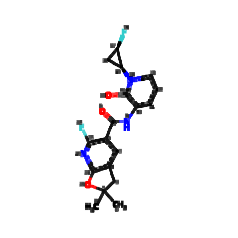 CC1(C)Cc2cc(C(=O)Nc3cccn([C@H]4C[C@H]4F)c3=O)c(F)nc2O1